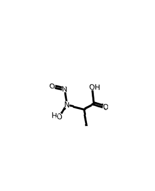 CC(C(=O)O)N(O)N=O